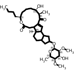 CCCC[C@H]1CCC[C@H](O)[C@@H](C)C(=O)C2=CC3C4CC(O[C@@H]5O[C@@H](C)[C@H](OC)[C@@H](O)[C@H]5OC)CC4CC[C@H]3C2CC(=O)O1